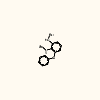 CCC(C)Nc1cccc(Sc2ccccc2)c1NC(C)CC